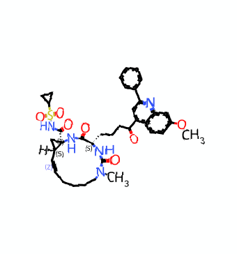 COc1ccc2c(C(=O)CCC[C@@H]3NC(=O)N(C)CCCC/C=C\[C@@H]4C[C@@]4(C(=O)NS(=O)(=O)C4CC4)NC3=O)cc(-c3ccccc3)nc2c1